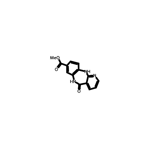 COC(=O)c1ccc2c(c1)NC(=O)c1cccnc1N2